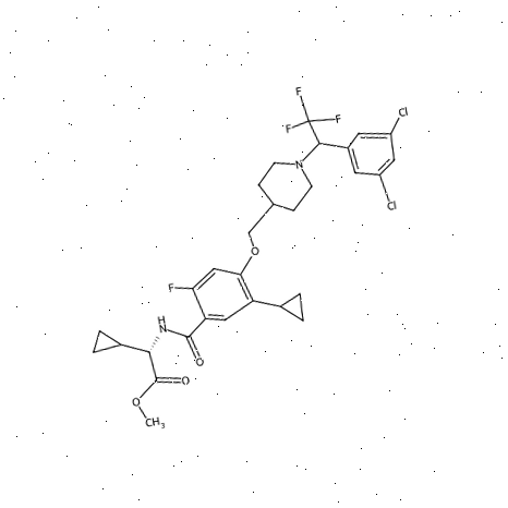 COC(=O)[C@@H](NC(=O)c1cc(C2CC2)c(OCC2CCN(C(c3cc(Cl)cc(Cl)c3)C(F)(F)F)CC2)cc1F)C1CC1